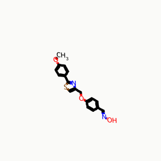 COc1ccc(-c2nc(COc3ccc(C=NO)cc3)cs2)cc1